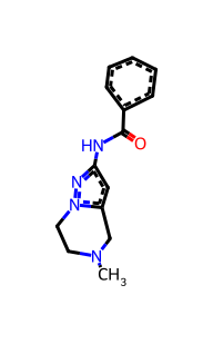 CN1CCn2nc(NC(=O)c3ccccc3)cc2C1